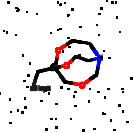 CCCCCCCC[Si]12COCN(CCO1)CCO2